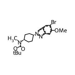 COc1cc2nn([C@H]3CC[C@H](N(C)C(=O)OC(C)(C)C)CC3)cc2cc1Br